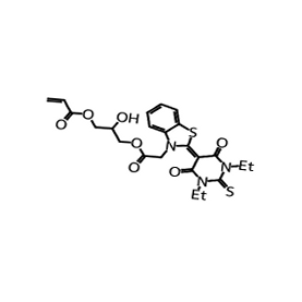 C=CC(=O)OCC(O)COC(=O)CN1C(=C2C(=O)N(CC)C(=S)N(CC)C2=O)Sc2ccccc21